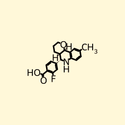 Cc1ccc2c(c1)[C@@H]1OCCC[C@@H]1[C@@H](c1ccc(C(=O)O)c(F)c1)N2